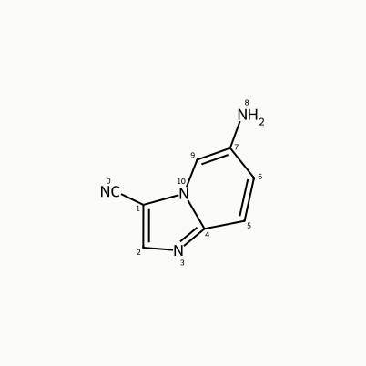 N#Cc1cnc2ccc(N)cn12